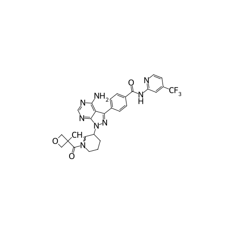 CC1(C(=O)N2CCCC(n3nc(-c4ccc(C(=O)Nc5cc(C(F)(F)F)ccn5)cc4)c4c(N)ncnc43)C2)COC1